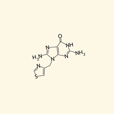 Nc1nc2c(nc(N)n2Cc2cscn2)c(=O)[nH]1